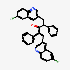 O=C(C(Cc1cnc2ccc(Cl)cc2c1)c1ccccc1)C(Cc1cnc2ccc(Cl)cc2c1)c1ccccc1